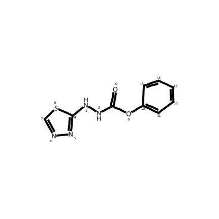 O=C(NNc1nncs1)Oc1ccccc1